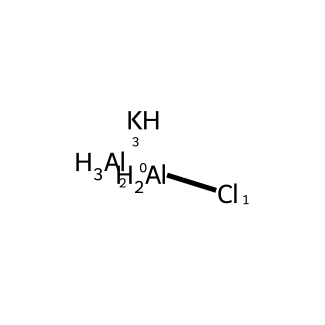 [AlH2][Cl].[AlH3].[KH]